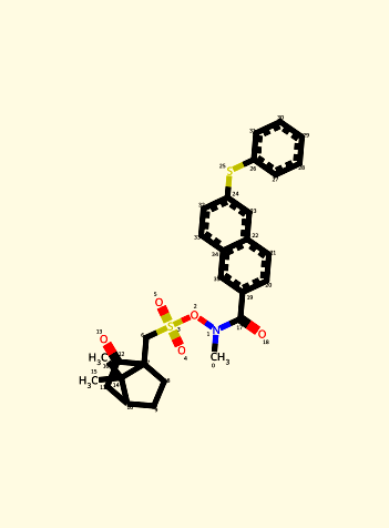 CN(OS(=O)(=O)CC12CCC(CC1=O)C2(C)C)C(=O)c1ccc2cc(Sc3ccccc3)ccc2c1